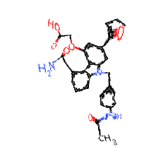 CC(=O)Nc1ccc(Cn2c3cc(-c4ccco4)cc(OCC(=O)O)c3c3c(C(N)=O)cccc32)cc1